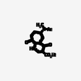 CCOC(=O)c1c[nH]c2c(=O)ccc(N(C)C(C)=O)cc2c1=O